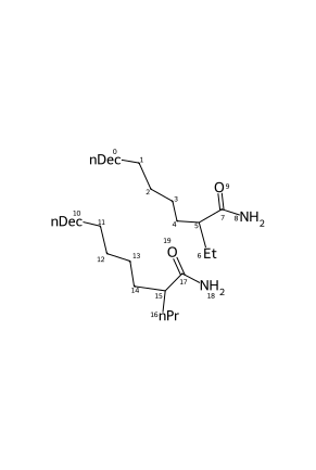 CCCCCCCCCCCCCCC(CC)C(N)=O.CCCCCCCCCCCCCCC(CCC)C(N)=O